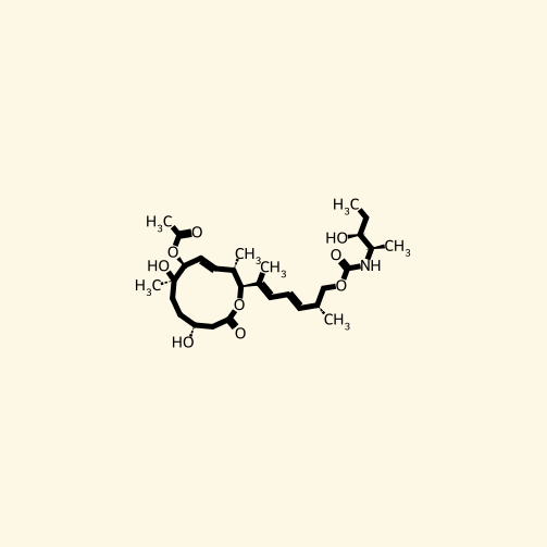 CC[C@H](O)[C@@H](C)NC(=O)OC[C@H](C)/C=C/C=C(\C)[C@H]1OC(=O)C[C@H](O)CC[C@@](C)(O)[C@@H](OC(C)=O)/C=C/[C@@H]1C